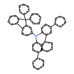 c1ccc(-c2ccc(N(c3ccc4c(c3)C(c3ccccc3)(c3ccccc3)c3ccccc3-4)c3ccc(-c4ccccc4)cc3-c3ccccc3)cc2)cc1